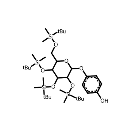 CC(C)(C)[Si](C)(C)OCC1OC(Oc2ccc(O)cc2)C(O[Si](C)(C)C(C)(C)C)C(O[Si](C)(C)C(C)(C)C)C1O[Si](C)(C)C(C)(C)C